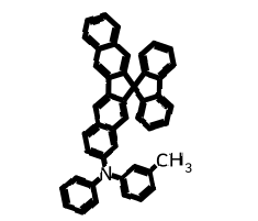 Cc1cccc(N(c2ccccc2)c2ccc3cc4c(cc3c2)C2(c3ccccc3-c3ccccc32)c2cc3ccccc3cc2-4)c1